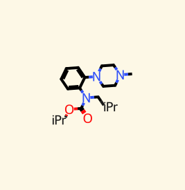 CC(C)CN(C(=O)OC(C)C)c1ccccc1N1CCN(C)CC1